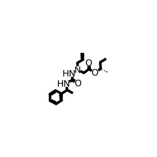 C=CCN(CC(=O)O[C@@H](C)CC)NC(=O)NC(C)c1ccccc1